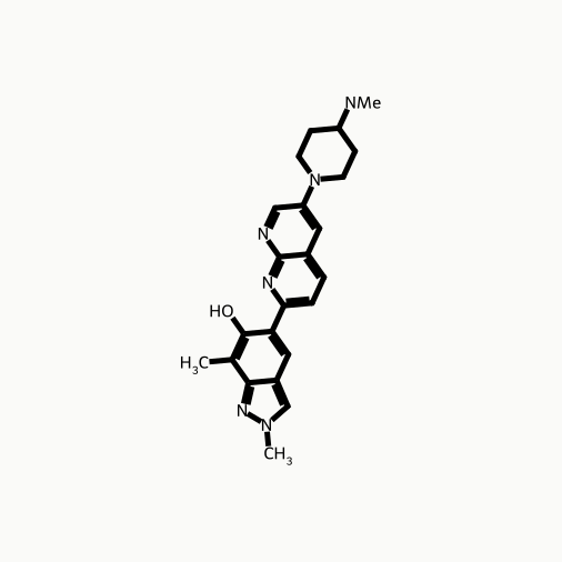 CNC1CCN(c2cnc3nc(-c4cc5cn(C)nc5c(C)c4O)ccc3c2)CC1